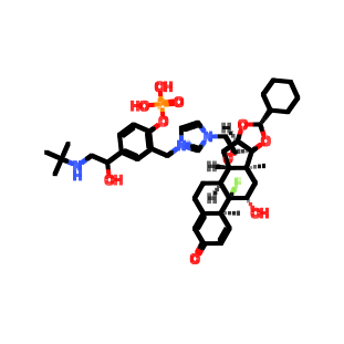 CC(C)(C)NCC(O)c1ccc(OP(=O)(O)O)c(C[n+]2ccn(CC(=O)[C@@]34O[C@H](C5CCCCC5)O[C@@H]3C[C@H]3[C@@H]5CCC6=CC(=O)C=C[C@]6(C)[C@@]5(F)[C@@H](O)C[C@@]34C)c2)c1